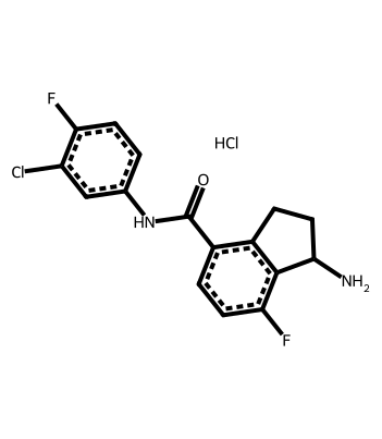 Cl.NC1CCc2c(C(=O)Nc3ccc(F)c(Cl)c3)ccc(F)c21